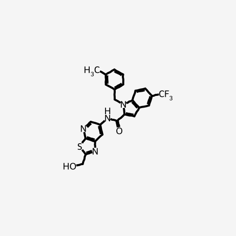 Cc1cccc(Cn2c(C(=O)Nc3cnc4sc(CO)nc4c3)cc3cc(C(F)(F)F)ccc32)c1